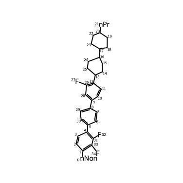 CCCCCCCCCc1ccc(-c2ccc(-c3ccc(C4CCC(C5CCC(CCC)CC5)CC4)c(F)c3)cc2)c(F)c1F